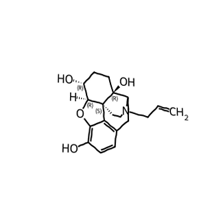 C=CCN1CC[C@]23c4c5ccc(O)c4O[C@H]2[C@H](O)CC[C@]3(O)C1C5